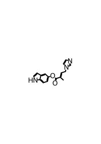 CC(=CCn1ccnc1)C(=O)Oc1ccc2[nH]ccc2c1